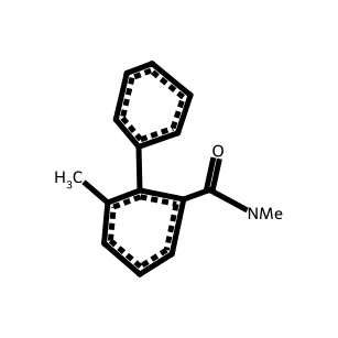 CNC(=O)c1cccc(C)c1-c1ccccc1